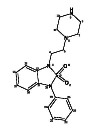 O=S1(=O)N(CCN2CCNCC2)c2ccccc2N1c1ccccc1